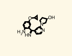 N=C(c1ccnc(N2CC[C@H](O)C2)c1)c1cc(OC2CC2)ccc1N